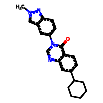 Cn1cc2cc(-n3cnc4cc(C5CCCCC5)ccc4c3=O)ccc2n1